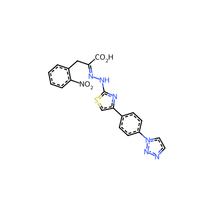 O=C(O)C(Cc1ccccc1[N+](=O)[O-])=NNc1nc(-c2ccc(-n3ccnn3)cc2)cs1